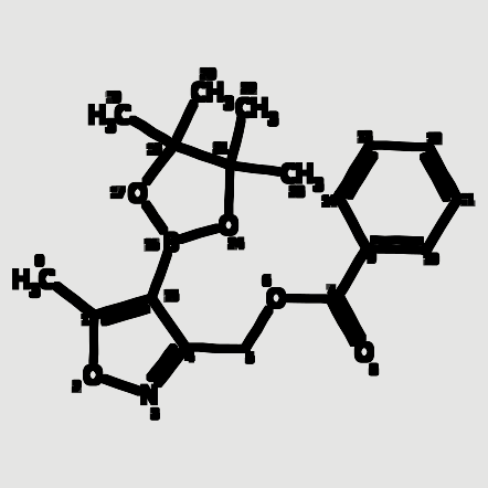 Cc1onc(COC(=O)c2ccccc2)c1B1OC(C)(C)C(C)(C)O1